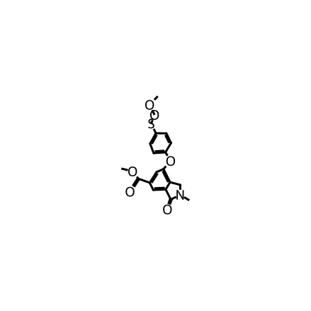 COOSc1ccc(Oc2cc(C(=O)OC)cc3c2CN(C)C3=O)cc1